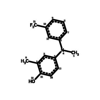 Cc1cc(N(C)c2cccc(C(F)(F)F)c2)ccc1O